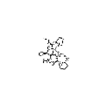 CCOC(=O)C1(C(SC=S)N2CCCC2)OC(=O)C(O)=C1SC(=S)N1CCCC1